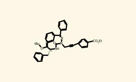 CCOC(=O)c1ccc(C#CCN(N=C(c2ccccc2)c2ccccc2)C(=O)N[C@H](Cc2ccccc2)C(=O)OC(C)(C)C)cc1